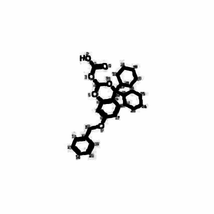 O=C(O)OC1Oc2cc(OCc3ccccc3)ccc2C(C2CCCCC2)(C2CCCCC2)O1